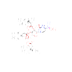 CC(C)(C)CC(=O)OC[C@H]1O[C@@H](n2ccc(NO)nc2=O)[C@H](OC(=O)CC(C)(C)C)[C@@H]1OC(=O)CC(C)(C)C